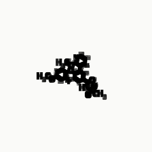 COc1ccc(Oc2ccc(C(=O)NS(C)(=O)=O)cc2-c2cccnc2OC)c(F)c1